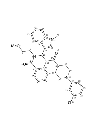 COCCN1C(=O)c2ccccc2C(C(=O)N2CCN(c3cccc(Cl)c3)CC2)C1c1cn(C)c2ccccc12